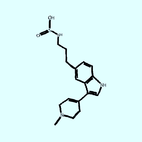 CN1CC=C(c2c[nH]c3ccc(CCCNS(=O)O)cc23)CC1